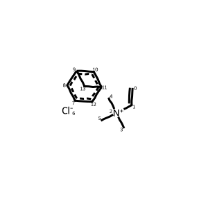 C=C[N+](C)(C)C.[Cl-].c1cc2cc(c1)C2